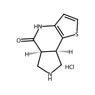 Cl.O=C1Nc2ccsc2[C@H]2CNC[C@@H]12